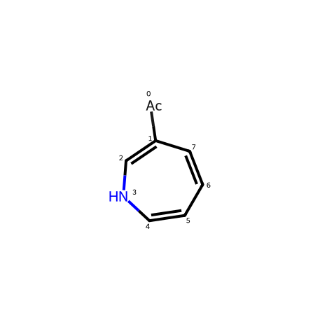 CC(=O)C1=CNC=CC=C1